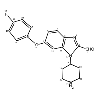 O=Cc1nc2ccc(Oc3ccc(F)cc3)cc2n1C1CC[SiH2]CC1